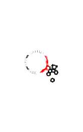 COc1cc2c3c(c4c(c2cc1Sc1ccccc1)-c1ccccc1C41CC(C)(C)CC(C)(C)C1)C=CC1(O3)c2ccc(cc2)OCCCCCCCCCCCCCCCCCCCCCCOc2ccc1cc2